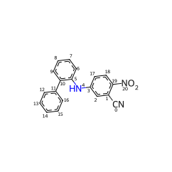 N#Cc1cc(Nc2ccccc2-c2ccccc2)ccc1[N+](=O)[O-]